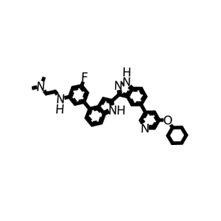 CN(C)CCNc1cc(F)cc(-c2cccc3[nH]c(-c4n[nH]c5ccc(-c6cncc(OC7CCCCC7)c6)cc45)cc23)c1